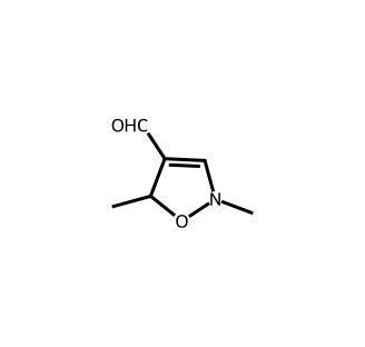 CC1ON(C)C=C1C=O